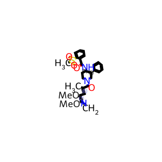 C=N/C(OC)=C(\C=C(/C)C(=O)N1CC[C@@H](NC(=O)c2ccccc2S(C)(=O)=O)[C@@H](c2ccccc2)C1)OC